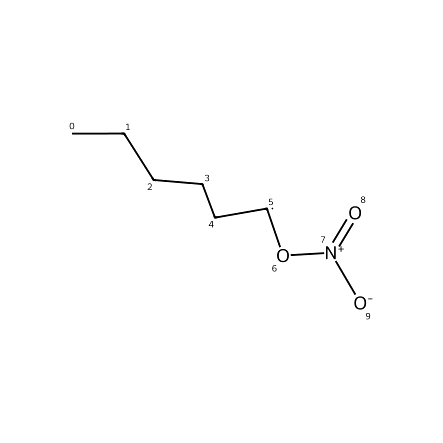 CCCCC[CH]O[N+](=O)[O-]